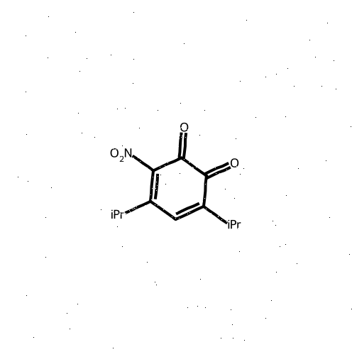 CC(C)C1=CC(C(C)C)=C([N+](=O)[O-])C(=O)C1=O